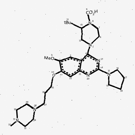 COc1cc2c(N3CCN(C(=O)O)C(C(C)(C)C)C3)nc(N3CCCC3)nc2cc1OCCCN1CCN(C)CC1